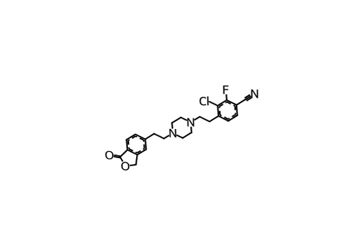 N#Cc1ccc(CCN2CCN(CCc3ccc4c(c3)COC4=O)CC2)c(Cl)c1F